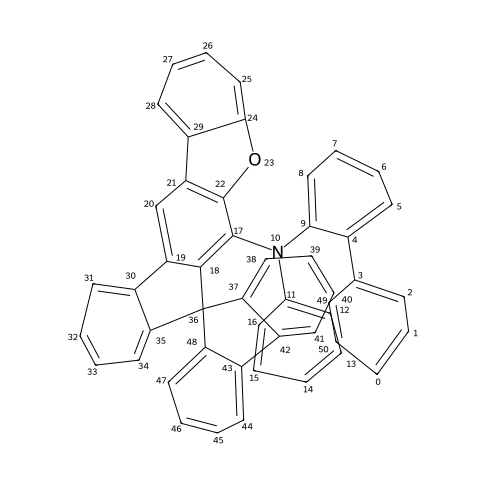 c1ccc(-c2ccccc2N(c2ccccc2)c2c3c(cc4c2oc2ccccc24)-c2ccccc2C32c3ccccc3-c3ccccc32)cc1